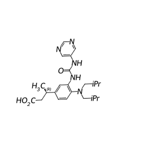 CC(C)CN(CC(C)C)c1ccc([C@H](C)CC(=O)O)cc1NC(=O)Nc1cncnc1